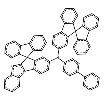 c1ccc(-c2ccc(N(c3ccc4c(c3)C3(c5ccccc5-c5ccccc53)c3ccccc3-4)c3ccc4c(c3)C3(c5ccccc5-c5ccccc53)c3oc5ccccc5c3-4)cc2)cc1